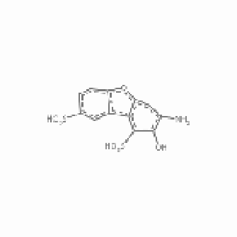 Nc1cc2oc3ccc(S(=O)(=O)O)cc3c2c(S(=O)(=O)O)c1O